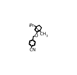 CC(C)C12CCC(C)(O1)C(OCc1ccc(C#N)cc1)C2